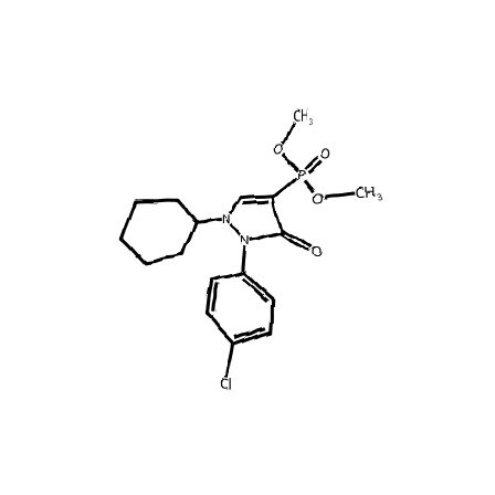 COP(=O)(OC)c1cn(C2CCCCC2)n(-c2ccc(Cl)cc2)c1=O